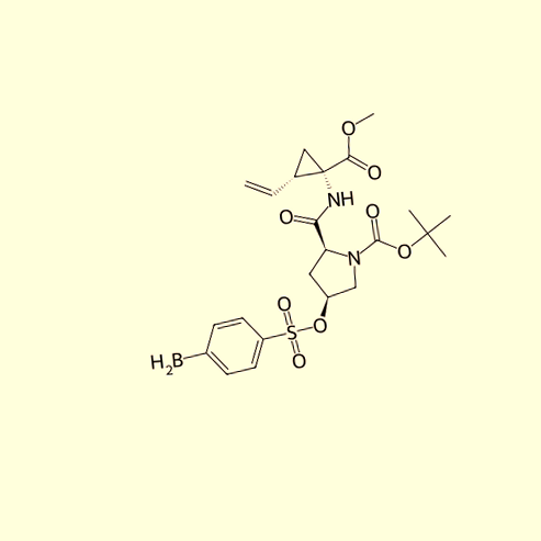 Bc1ccc(S(=O)(=O)O[C@H]2C[C@@H](C(=O)N[C@@]3(C(=O)OC)C[C@H]3C=C)N(C(=O)OC(C)(C)C)C2)cc1